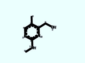 CNc1ncc(C)c(CO)n1